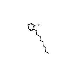 CCCCCCCCCc1ccccc1Br